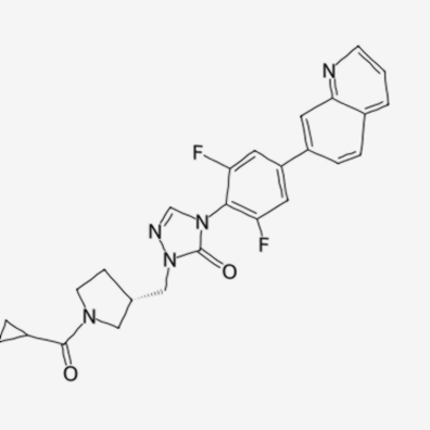 O=C(C1CC1)N1CC[C@H](Cn2ncn(-c3c(F)cc(-c4ccc5cccnc5c4)cc3F)c2=O)C1